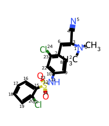 CN(C)C(C#N)=Cc1ccc(NS(=O)(=O)c2ccccc2Cl)cc1Cl